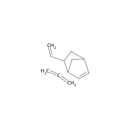 C=C=C.C=CC1CC2C=CC1C2